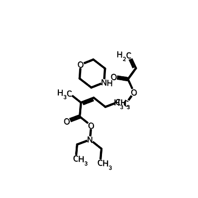 C1COCCN1.C=CC(=O)OC.CCC=C(C)C(=O)ON(CC)CC